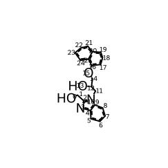 OCc1nc2ccccc2n1C[C@@H](O)COc1cccc2ccccc12